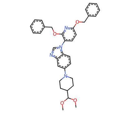 COC(OC)C1CCN(c2ccc3c(c2)ncn3-c2ccc(OCc3ccccc3)nc2OCc2ccccc2)CC1